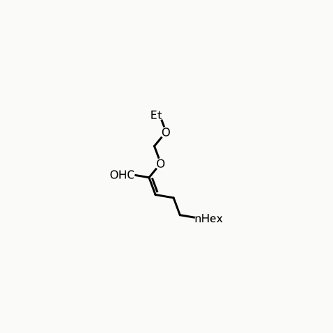 CCCCCCCCC=C(C=O)OCOCC